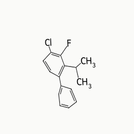 CC(C)c1c(-c2ccccc2)ccc(Cl)c1F